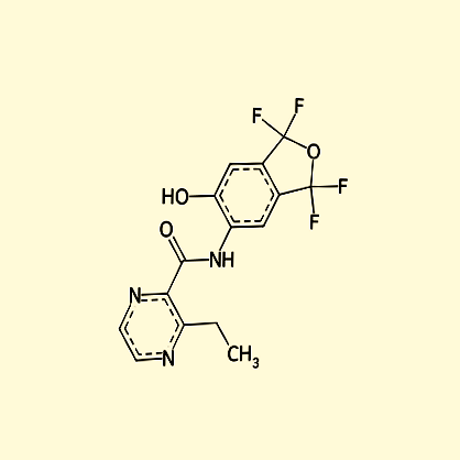 CCc1nccnc1C(=O)Nc1cc2c(cc1O)C(F)(F)OC2(F)F